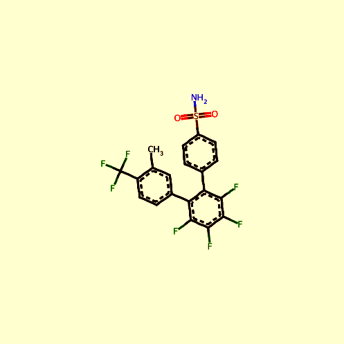 Cc1cc(-c2c(F)c(F)c(F)c(F)c2-c2ccc(S(N)(=O)=O)cc2)ccc1C(F)(F)F